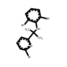 CC(C)c1cccc(C(C)C)c1NC(C)(C)c1cccc(Br)n1